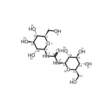 OC[C@H]1O[C@@H](NC(=S)N[C@@H]2O[C@H](CO)[C@@H](O)[C@H](O)[C@H]2O)[C@H](O)[C@@H](O)[C@@H]1O